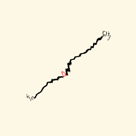 CCCCCCCCCCCCCCCCCCC[CH]OCCCCCCCCCCCC